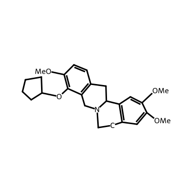 COc1cc2c(cc1OC)C1Cc3ccc(OC)c(OC4CCCC4)c3CN1CC2